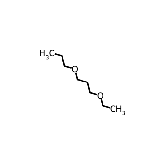 CC[CH]OCCCOCC